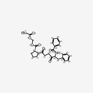 CC(C)(C)C(=O)OCOC(=O)[C@@H]1CCCN1C(=O)CCC(=O)C(Cc1ccccc1)NC(=O)c1ccccc1